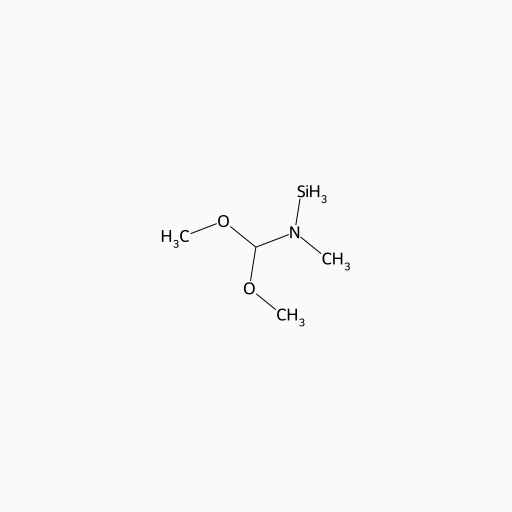 COC(OC)N(C)[SiH3]